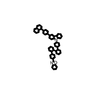 c1ccc(-c2ccccc2-c2ccc(-n3c4ccccc4c4cc(-c5ccc(-c6cccc7ccccc67)cc5)ccc43)cc2)c(-c2ccc(-c3nc4ccccc4o3)cc2)c1